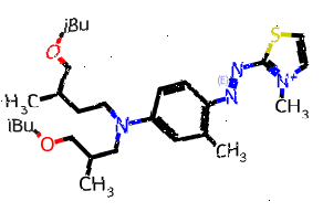 CCC(C)OCC(C)CCN(CC(C)COC(C)CC)c1ccc(/N=N/c2scc[n+]2C)c(C)c1